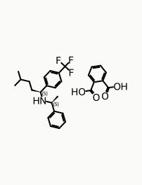 CC(C)CC[C@H](N[C@@H](C)c1ccccc1)c1ccc(C(F)(F)F)cc1.O=C(O)c1ccccc1C(=O)O